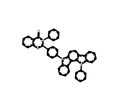 O=c1c2ccccc2nc(-c2ccc(-n3c4ccccc4c4c3ccc3c5ccccc5n(-c5ccccc5)c34)cc2)n1-c1ccccc1